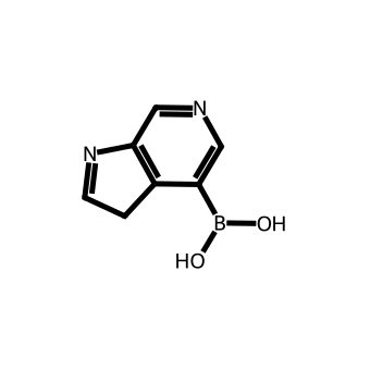 OB(O)c1cncc2c1CC=N2